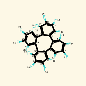 Fc1c(F)c(F)c2c(c1F)-c1c(F)c(F)c(F)c(F)c1-c1c(F)c(F)c(F)c(F)c1-c1c(F)c(F)c(F)c(F)c1-2